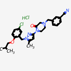 Cc1cc(N2CCN(Cc3cccc(C#N)c3)CC2=O)nn1Cc1cc(Cl)ccc1OCC(C)C.Cl